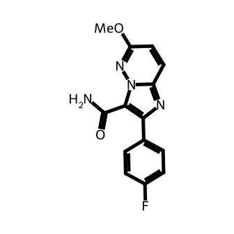 COc1ccc2nc(-c3ccc(F)cc3)c(C(N)=O)n2n1